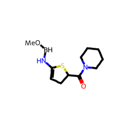 COBNC1=CCC(C(=O)N2CCCCC2)S1